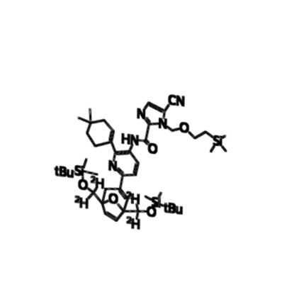 [2H]C([2H])(O[Si](C)(C)C(C)(C)C)C12C=CC(C([2H])([2H])O[Si](C)(C)C(C)(C)C)(CC(c3ccc(NC(=O)c4ncc(C#N)n4COCC[Si](C)(C)C)c(C4=CCC(C)(C)CC4)n3)=C1)O2